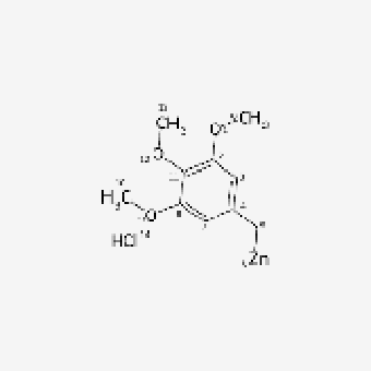 COc1cc([CH2][Zn])cc(OC)c1OC.Cl